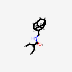 CCC(CC)C(=O)NCC1C2CC3CC(C2)CC1C3